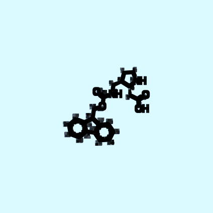 O=C(O)C[C@H]1NCC[C@@H]1CNC(=O)OCC1c2ccccc2-c2ccccc21